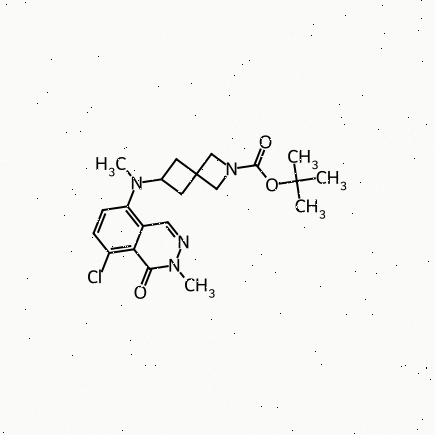 CN(c1ccc(Cl)c2c(=O)n(C)ncc12)C1CC2(C1)CN(C(=O)OC(C)(C)C)C2